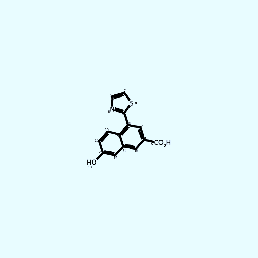 O=C(O)c1cc(-c2nccs2)c2ccc(O)cc2c1